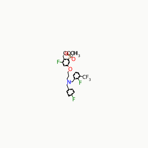 CS(=O)(=O)c1cc(OCCCN(Cc2ccc(F)cc2)Cc2cccc(C(F)(F)F)c2F)cc(F)c1CC(=O)O